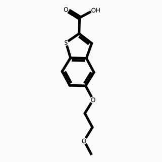 COCCOc1ccc2sc(C(=O)O)cc2c1